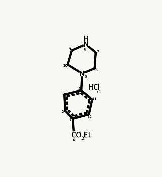 CCOC(=O)c1ccc(N2CCNCC2)cc1.Cl